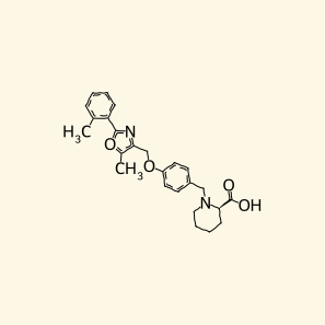 Cc1ccccc1-c1nc(COc2ccc(CN3CCCC[C@@H]3C(=O)O)cc2)c(C)o1